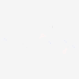 Cc1cc(N2CCNC2=O)cnc1OCC[C@@H]1C[C@@H]1C1CCNCC1